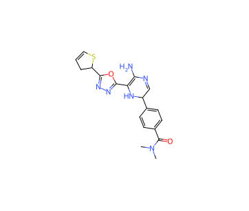 CN(C)C(=O)c1ccc(C2C=NC(N)=C(c3nnc(C4CC=CS4)o3)N2)cc1